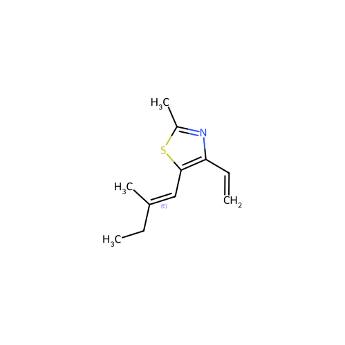 C=Cc1nc(C)sc1/C=C(\C)CC